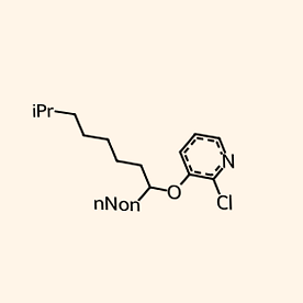 CCCCCCCCCC(CCCCCC(C)C)Oc1cccnc1Cl